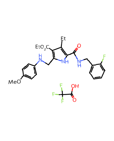 CCOC(=O)c1c(CNc2ccc(OC)cc2)[nH]c(C(=O)NCc2ccccc2F)c1CC.O=C(O)C(F)(F)F